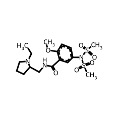 CCN1CCCC1CNC(=O)c1cc(N(S(C)(=O)=O)S(C)(=O)=O)ccc1OC